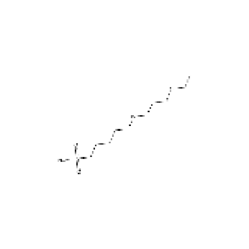 CCOCCCNCCCCCS(=O)(=O)O